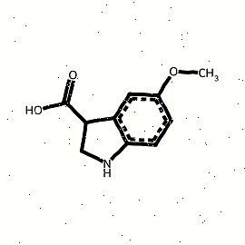 COc1ccc2c(c1)C(C(=O)O)CN2